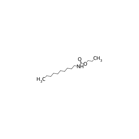 CCCCCCCCCCNC(=O)OCCC